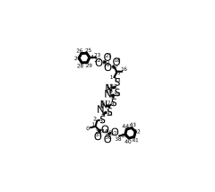 CC(CSc1nnc(Sc2nnc(SCC(C)C(=O)OC(=O)OCc3ccccc3)s2)s1)C(=O)OC(=O)OCc1ccccc1